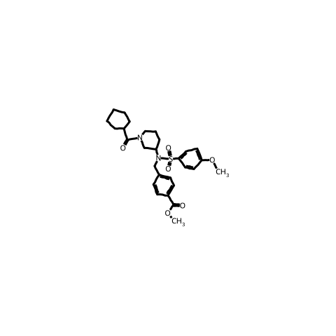 COC(=O)c1ccc(CN(C2CCCN(C(=O)C3CCCCC3)C2)S(=O)(=O)c2ccc(OC)cc2)cc1